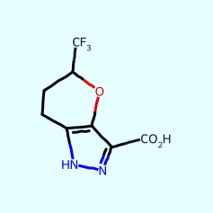 O=C(O)c1n[nH]c2c1OC(C(F)(F)F)CC2